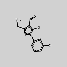 CCc1nn(-c2cccc(Cl)c2)c(Cl)c1C=O